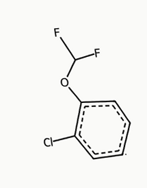 FC(F)Oc1cc[c]cc1Cl